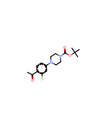 CC(=O)c1ccc(N2CCN(C(=O)OC(C)(C)C)CC2)cc1F